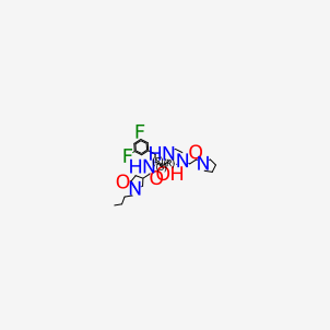 CCCCN1CC(C(=O)N[C@@H](Cc2cc(F)cc(F)c2)[C@H](O)[C@H]2CN(CC(=O)N3CCCC3)CCN2)CC1=O